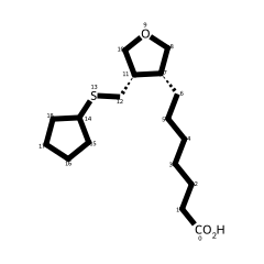 O=C(O)CCCCCC[C@H]1COC[C@H]1CSC1CCCC1